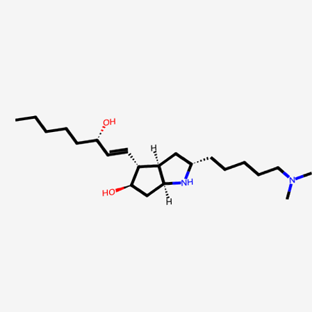 CCCCC[C@H](O)/C=C/[C@@H]1[C@H]2C[C@H](CCCCCN(C)C)N[C@H]2C[C@H]1O